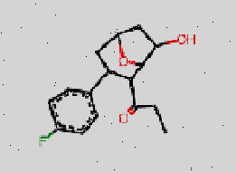 CCC(=O)C1C(c2ccc(F)cc2)CC2CC(O)C1O2